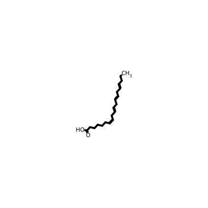 CCCC=CCC=CCC=CC/C=C\CCCCCC(=O)O